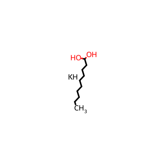 CCCCCCCCCC(O)O.[KH]